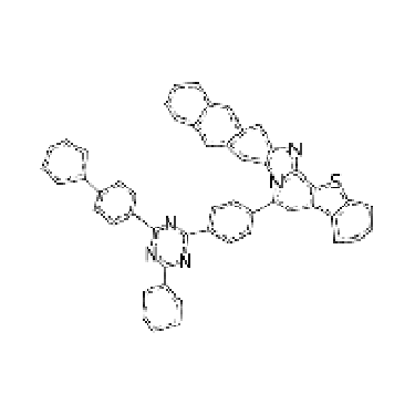 c1ccc(-c2ccc(-c3nc(-c4ccccc4)nc(-c4ccc(-c5cc6c7ccccc7sc6c6nc7cc8cc9ccccc9cc8cc7n56)cc4)n3)cc2)cc1